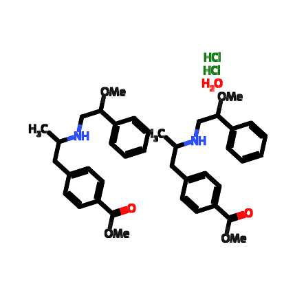 COC(=O)c1ccc(CC(C)NCC(OC)c2ccccc2)cc1.COC(=O)c1ccc(CC(C)NCC(OC)c2ccccc2)cc1.Cl.Cl.O